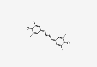 CC1=CC(=CN=NC=C2C=C(C)C(=O)C(C)=C2)C=C(C)C1=O